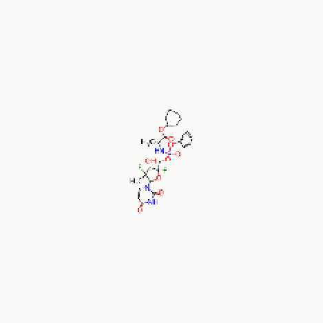 CC(NP(=O)(OC[C@@]1(F)OC(n2ccc(=O)[nH]c2=O)[C@](C)(F)[C@@H]1O)Oc1ccccc1)C(=O)OC1CCCCC1